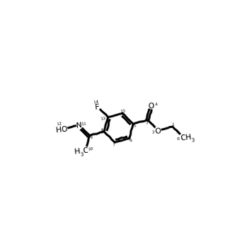 CCOC(=O)c1ccc(/C(C)=N/O)c(F)c1